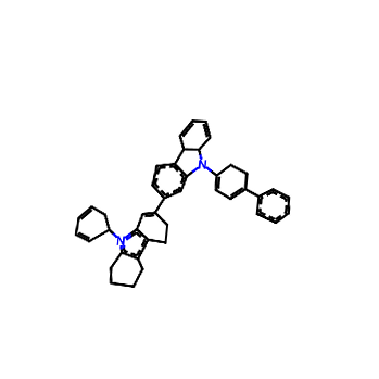 C1=CCC(n2c3c(c4c2CCCC4)CCC(c2ccc4c(c2)N(C2=CC=C(c5ccccc5)CC2)C2C=CC=CC42)=C3)C=C1